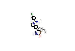 CCN=C(c1ccc(F)cc1)N1CCCc2cc(C3=NNC(=O)SC3(C)C)ccc21